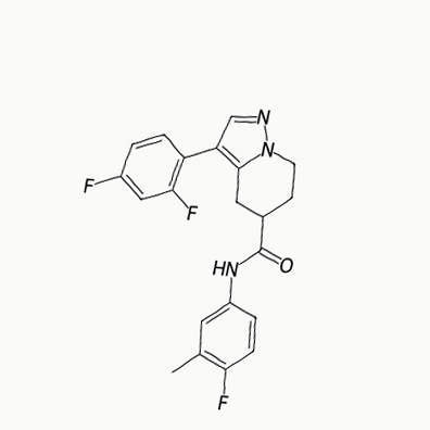 Cc1cc(NC(=O)C2CCn3ncc(-c4ccc(F)cc4F)c3C2)ccc1F